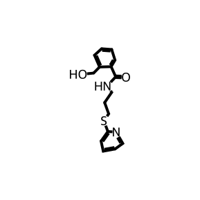 O=C(NCCCSc1ccccn1)c1ccccc1CO